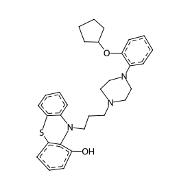 Oc1cccc2c1N(CCCN1CCN(c3ccccc3OC3CCCC3)CC1)c1ccccc1S2